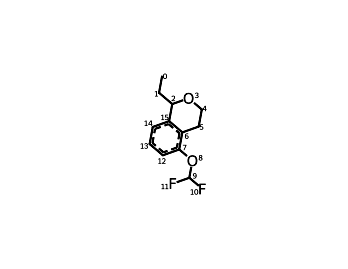 CCC1OCCc2c(OC(F)F)cccc21